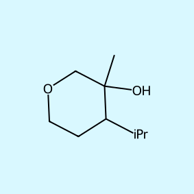 CC(C)C1CCOCC1(C)O